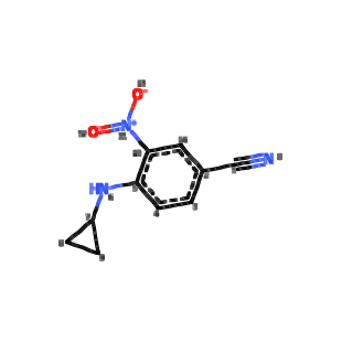 N#Cc1ccc(NC2CC2)c([N+](=O)[O-])c1